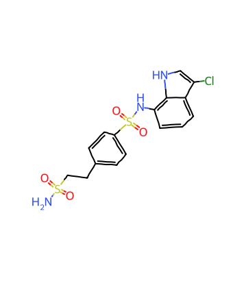 NS(=O)(=O)CCc1ccc(S(=O)(=O)Nc2cccc3c(Cl)c[nH]c23)cc1